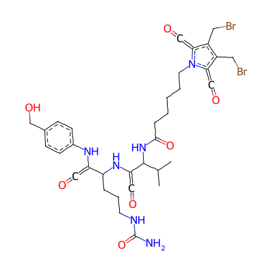 CC(C)C(NC(=O)CCCCCn1c(=C=O)c(CBr)c(CBr)c1=C=O)C(=C=O)NC(CCCNC(N)=O)C(=C=O)Nc1ccc(CO)cc1